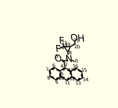 CN(C(=O)c1c2ccccc2cc2ccccc12)C1C(CO)C1(F)F